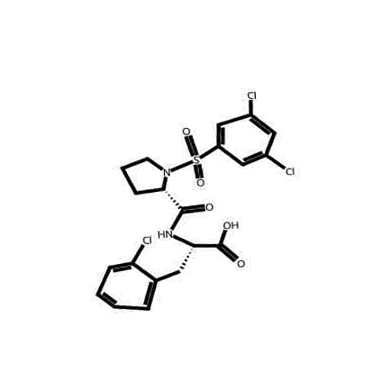 O=C(O)[C@H](Cc1ccccc1Cl)NC(=O)[C@@H]1CCCN1S(=O)(=O)c1cc(Cl)cc(Cl)c1